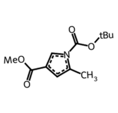 COC(=O)c1cc(C)n(C(=O)OC(C)(C)C)c1